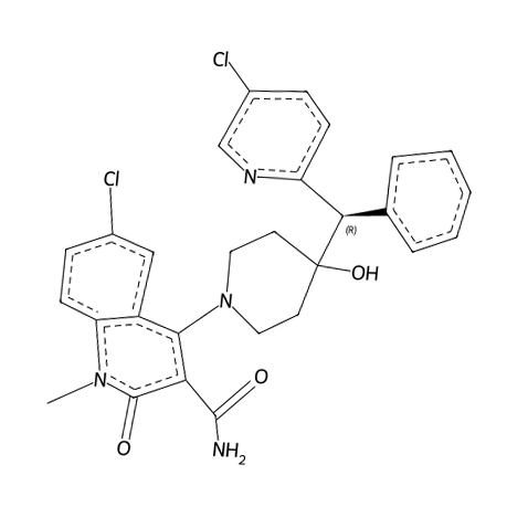 Cn1c(=O)c(C(N)=O)c(N2CCC(O)([C@H](c3ccccc3)c3ccc(Cl)cn3)CC2)c2cc(Cl)ccc21